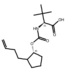 C=CCCC1CCC[C@H]1OC(=O)N[C@H](C(=O)O)C(C)(C)C